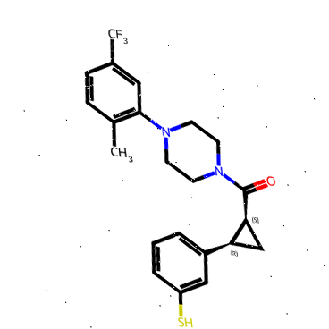 Cc1ccc(C(F)(F)F)cc1N1CCN(C(=O)[C@H]2C[C@H]2c2cccc(S)c2)CC1